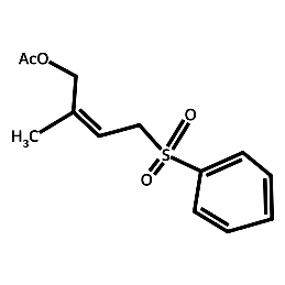 CC(=O)OCC(C)=CCS(=O)(=O)c1ccccc1